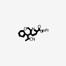 CCCOC(=O)c1ccc2c(n1)COc1ccccc1/C2=C(\C)C#N